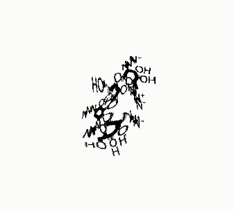 [N-]=[N+]=NCC1O[C@H](OC2C(O)[C@H](OC3C(O)[C@H](N=[N+]=[N-])CC(N=[N+]=[N-])[C@H]3O[C@H]3OC(CO)[C@@H](O)C(O)C3N=[N+]=[N-])O[C@@H]2CO)C(N=[N+]=[N-])C(O)[C@@H]1O